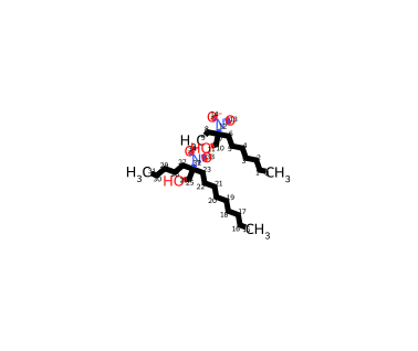 CCCCCCCC(CC)(CO)[N+](=O)[O-].CCCCCCCCCC(CO)(CCCCC)[N+](=O)[O-]